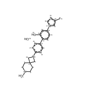 CN1CCC2(CC1)CN(c1ncc(-c3ccc(-n4cnc(F)c4)cc3O)nn1)C2.Cl